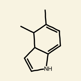 CC1=CC=C2NC=CC2C1C